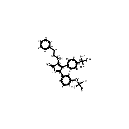 O=C1N=C(c2cccc(OC(F)(F)F)c2)C(c2ccc(C(F)(F)F)cc2)=C1NCCc1ccccc1